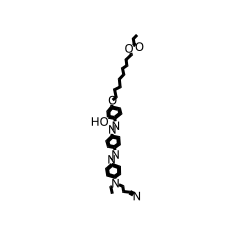 CCC(=O)OCCCCCCCCCOc1ccc(N=Nc2ccc(N=Nc3ccc(N(CC)CCC#N)cc3)cc2)c(O)c1